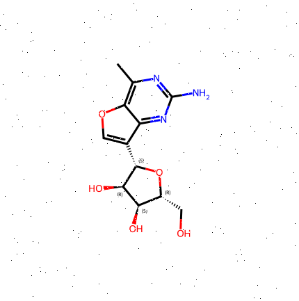 Cc1nc(N)nc2c([C@@H]3O[C@H](CO)[C@@H](O)[C@H]3O)coc12